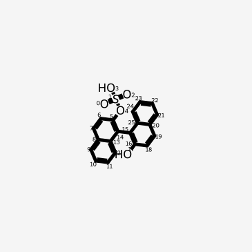 O=S(=O)(O)Oc1ccc2ccccc2c1-c1c(O)ccc2ccccc12